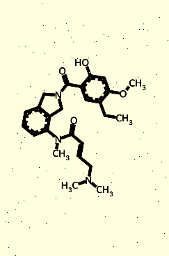 CCc1cc(C(=O)N2Cc3cccc(N(C)C(=O)/C=C/CN(C)C)c3C2)c(O)cc1OC